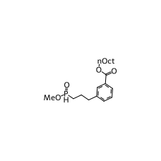 CCCCCCCCOC(=O)c1cccc(CCC[PH](=O)OC)c1